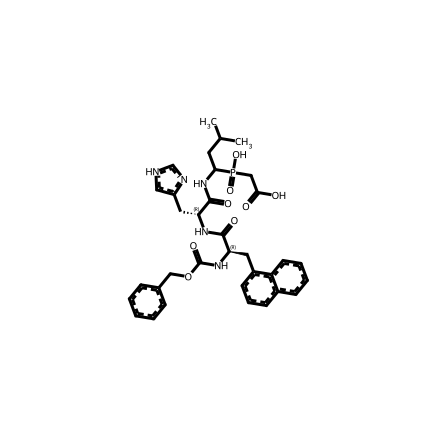 CC(C)CC(NC(=O)[C@@H](Cc1c[nH]cn1)NC(=O)[C@@H](Cc1cccc2ccccc12)NC(=O)OCc1ccccc1)P(=O)(O)CC(=O)O